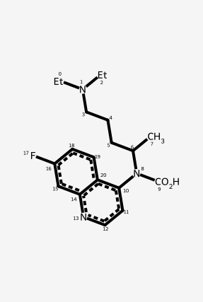 CCN(CC)CCCC(C)N(C(=O)O)c1ccnc2cc(F)ccc12